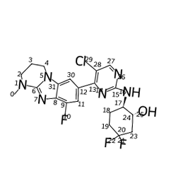 CN1CCCn2c1nc1c(F)cc(-c3nc(N[C@@H]4CCC(F)(F)C[C@H]4O)ncc3Cl)cc12